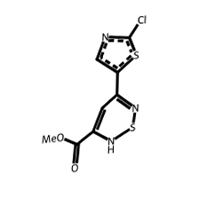 COC(=O)C1=CC(c2cnc(Cl)s2)=NSN1